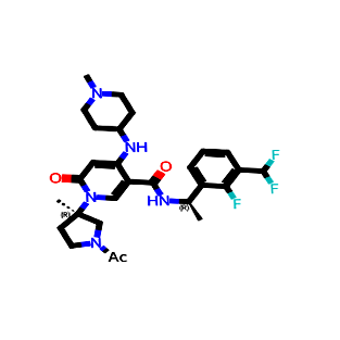 CC(=O)N1CC[C@@](C)(n2cc(C(=O)N[C@H](C)c3cccc(C(F)F)c3F)c(NC3CCN(C)CC3)cc2=O)C1